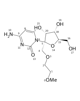 COCCOC[C@@]1(n2ccc(N)nc2=O)O[C@H](CO)[C@@H](O)[C@H]1O